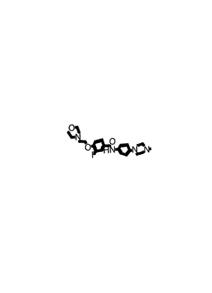 CN1CCN(c2ccc(NC(=O)c3ccc(OCCN4CCOCC4)c(F)c3)cc2)CC1